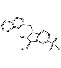 O=C1C(=O)N(Cc2ccc3ccccc3c2)c2ccc(S(=O)(=O)[O-])cc21.[Na+]